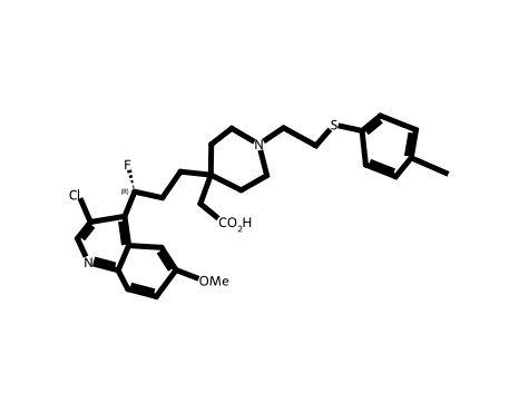 COc1ccc2ncc(Cl)c([C@H](F)CCC3(CC(=O)O)CCN(CCSc4ccc(C)cc4)CC3)c2c1